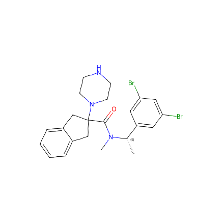 C[C@@H](c1cc(Br)cc(Br)c1)N(C)C(=O)C1(N2CCNCC2)Cc2ccccc2C1